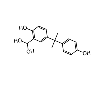 CC(C)(c1ccc(O)cc1)c1ccc(O)c(C(O)O)c1